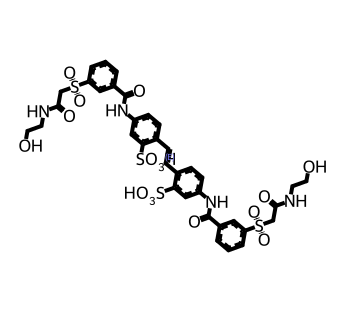 O=C(CS(=O)(=O)c1cccc(C(=O)Nc2ccc(/C=C/c3ccc(NC(=O)c4cccc(S(=O)(=O)CC(=O)NCCO)c4)cc3S(=O)(=O)O)c(S(=O)(=O)O)c2)c1)NCCO